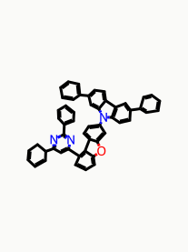 C1=CCC(c2cc(-c3cccc4oc5cc(-n6c7ccc(-c8ccccc8)cc7c7ccc(-c8ccccc8)cc76)ccc5c34)nc(-c3ccccc3)n2)C=C1